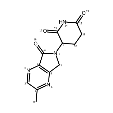 Cc1cnc2c(n1)CN(C1CCC(=O)NC1=O)C2=O